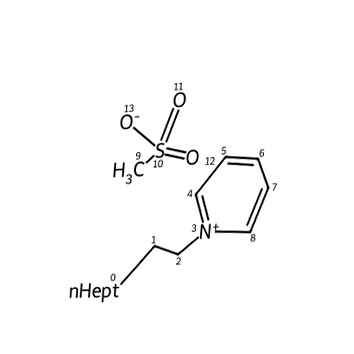 CCCCCCCCC[n+]1ccccc1.CS(=O)(=O)[O-]